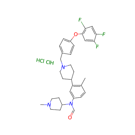 Cc1ccc(N(C=O)C2CCN(C)CC2)cc1C1CCN(Cc2ccc(Oc3cc(F)c(F)cc3F)cc2)CC1.Cl.Cl